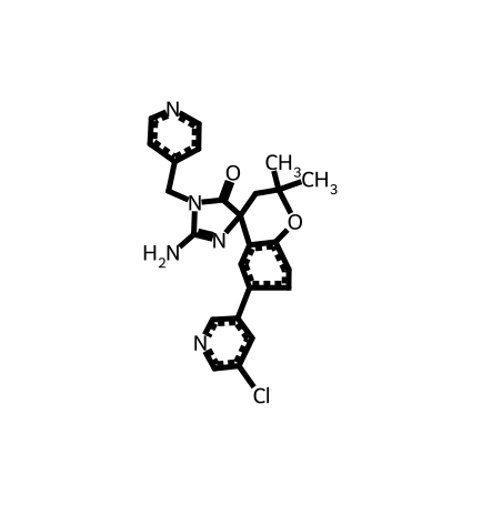 CC1(C)CC2(N=C(N)N(Cc3ccncc3)C2=O)c2cc(-c3cncc(Cl)c3)ccc2O1